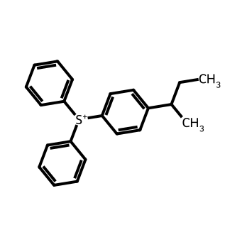 CCC(C)c1ccc([S+](c2ccccc2)c2ccccc2)cc1